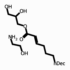 CCCCCCCCCCCCC/C=C/C(=O)OCC(O)CO.NCCO